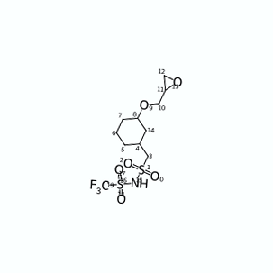 O=S(=O)(CC1CCCC(OCC2CO2)C1)NS(=O)(=O)C(F)(F)F